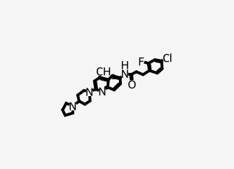 Cc1cc(N2CCC(N3CCCC3)CC2)nc2ccc(NC(=O)CCc3ccc(Cl)cc3F)cc12